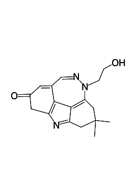 CC1(C)CC2=NC3=C4C(=CC(=O)C3)C=NN(CCO)C(=C24)C1